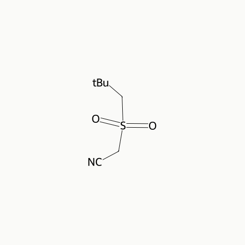 CC(C)(C)CS(=O)(=O)CC#N